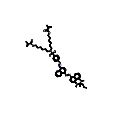 C=C(C)C(=O)OCCCCCCN(CCCCCCOC(=O)C(=C)C)S(=O)(=O)c1ccc(/N=N/c2ccc(/N=N/c3ccc4c5c(cccc35)N(C)C(C)(CCC)N4C)c3ccccc23)cc1